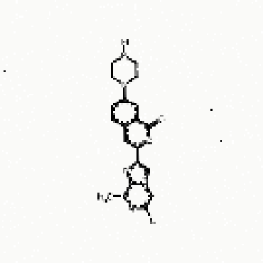 CCN1CCN(c2ccc3cc(-c4cn5cc(Cl)nc(C)c5n4)oc(=O)c3c2)CC1